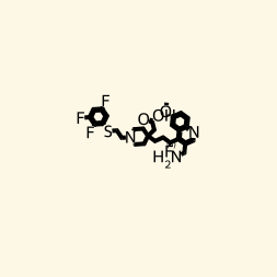 COc1ccc2ncc(CN)c([C@@H](F)CCC3(CC(=O)O)CCN(CCSc4cc(F)cc(F)c4F)CC3)c2c1